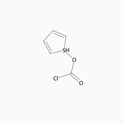 O=C(Cl)O[SH]1C=CC=C1